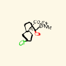 CCOC(=O)[C@@]1(C(=O)OC)CCc2cc(Cl)ccc21